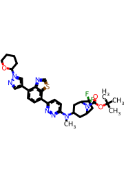 CN(c1ccc(-c2ccc(-c3cnn(C4CCCCO4)c3)c3ncsc23)nn1)C1CC2CC(F)(F)C(C1)N2C(=O)OC(C)(C)C